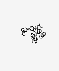 CCC(C)CN(c1ccc([C@H](C)CC(=O)OC)cc1Nc1nc(C(F)(F)F)ns1)C1CCN(S(C)(=O)=O)CC1